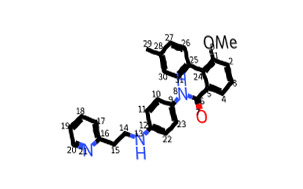 COc1cccc(C(=O)Nc2ccc(NCCc3ccccn3)cc2)c1-c1ccc(C)cc1